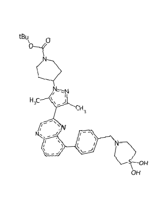 Cc1nn(C2CCN(C(=O)OC(C)(C)C)CC2)c(C)c1-c1cnc2cccc(-c3ccc(CN4CCS(O)(O)CC4)cc3)c2n1